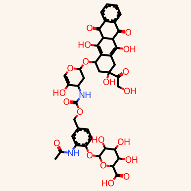 CC(=O)Nc1cc(COC(=O)NC2CC(OC3CC(O)(C(=O)CO)CC4=C(O)C5C(=O)c6ccccc6C(=O)C5C(O)=C43)OC=C2O)ccc1OC1OC(C(=O)O)C(O)C(O)C1O